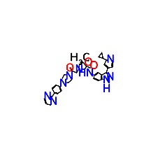 COC1(C(=O)Nc2ccc3[nH]nc(-c4ccnc(C5CC5)c4)c3c2)CCN(CC(=O)N2CCN(c3ccc(-c4ncccn4)cc3)CC2)C1